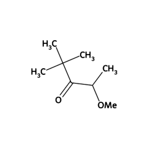 COC(C)C(=O)C(C)(C)C